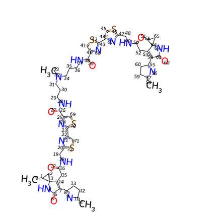 C[C@@H]1C[C@@]12NC(=O)C(C1=N[C@@H](C)CC1)=C2CC(=O)NCc1nc(-c2nc(C(=O)NCCCN(C)CCCNC(=O)c3csc(-c4csc(CNC(=O)CC5=C(C6=N[C@@H](C)CC6)C(=O)NC56CC6)n4)n3)cs2)cs1